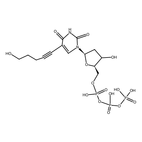 O=c1[nH]c(=O)n([C@H]2CC(O)[C@@H](COP(=O)(O)OP(=O)(O)OP(=O)(O)O)O2)cc1C#CCCCO